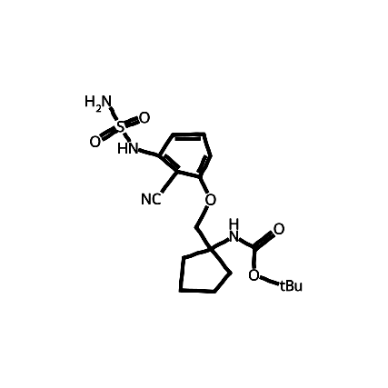 CC(C)(C)OC(=O)NC1(COc2cccc(NS(N)(=O)=O)c2C#N)CCCC1